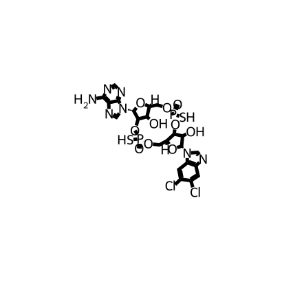 Nc1ncnc2c1ncn2[C@@H]1O[C@@H]2COP(=O)(S)OC3C(O)[C@H](n4cnc5cc(Cl)c(Cl)cc54)O[C@@H]3COP(=O)(S)OC1C2O